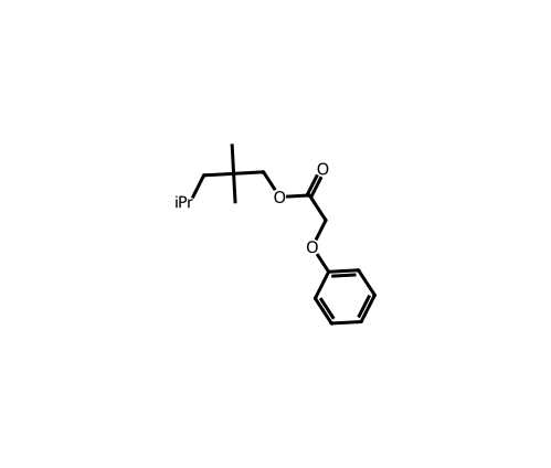 CC(C)CC(C)(C)COC(=O)COc1ccccc1